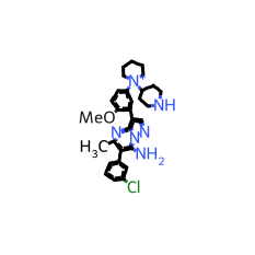 COc1ccc([N+]2(C3CCNCC3)CCCCC2)cc1-c1cnn2c(N)c(-c3cccc(Cl)c3)c(C)nc12